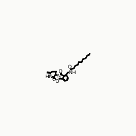 C=C1CCC(N2C(=O)c3cccc(CNC(=O)CCCCCCCCCC)c3C2=O)C(=O)N1